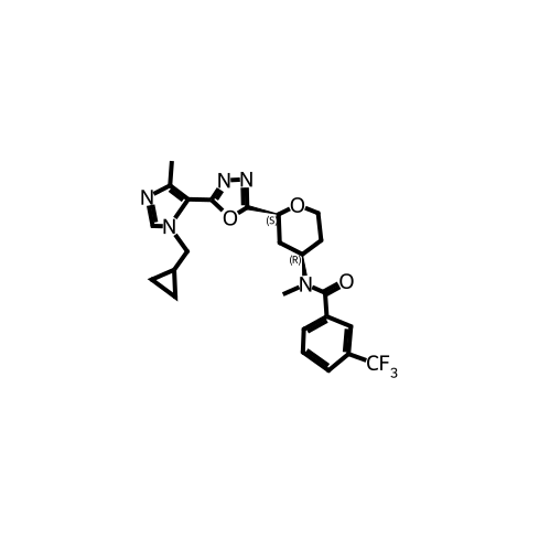 Cc1ncn(CC2CC2)c1-c1nnc([C@@H]2C[C@H](N(C)C(=O)c3cccc(C(F)(F)F)c3)CCO2)o1